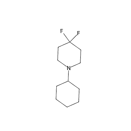 FC1(F)CCN(C2CCCCC2)CC1